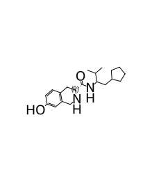 CC(C)C(CC1CCCC1)NC(=O)[C@H]1Cc2ccc(O)cc2CN1